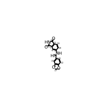 O=C1NC(=O)c2cc(NNc3ccc4c(c3)OCO4)ccc21